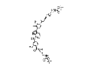 CCc1cc(Nc2nccn3c(-c4ccc(OCC#CCOCCNC(=O)OC(C)(C)C)c(F)c4F)cnc23)ccc1C(=O)NCCCNC(=O)OC(C)(C)C